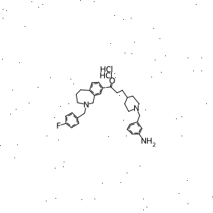 Cl.Cl.Nc1cccc(CN2CCC(CCC(=O)c3ccc4c(c3)CN(Cc3ccc(F)cc3)CCC4)CC2)c1